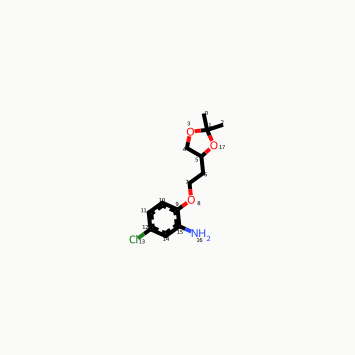 CC1(C)OCC(CCOc2ccc(Cl)cc2N)O1